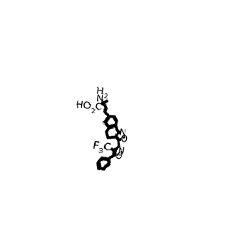 C[C@@](N)(CCc1ccc2c(c1)CCc1c-2noc1-c1noc(-c2ccccc2)c1C(F)(F)F)C(=O)O